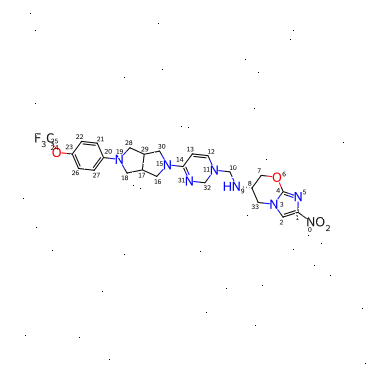 O=[N+]([O-])c1cn2c(n1)OC[C@@H](NCN1C=CC(N3CC4CN(c5ccc(OC(F)(F)F)cc5)CC4C3)=NC1)C2